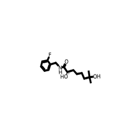 CC(C)(O)CCCC[C@H](O)C(=O)NCc1ccccc1F